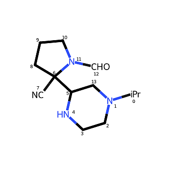 CC(C)N1CCNC(C2(C#N)CCCN2C=O)C1